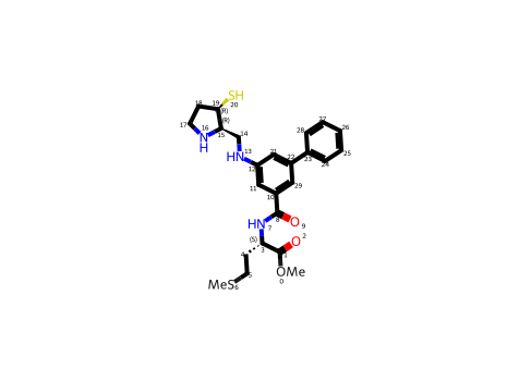 COC(=O)[C@H](CCSC)NC(=O)c1cc(NC[C@H]2NCC[C@H]2S)cc(-c2ccccc2)c1